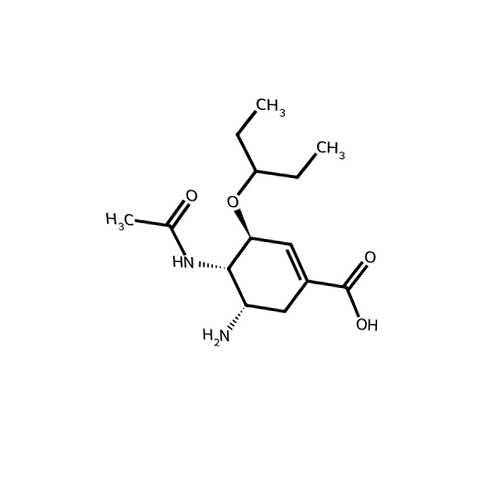 CCC(CC)O[C@H]1C=C(C(=O)O)C[C@H](N)[C@@H]1NC(C)=O